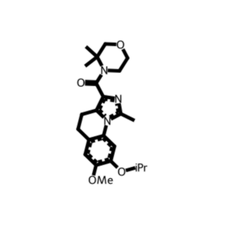 COc1cc2c(cc1OC(C)C)-n1c(C)nc(C(=O)N3CCOCC3(C)C)c1CC2